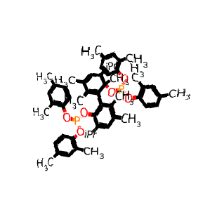 CC1=CC(C(C)C)C(C)(OP(Oc2ccc(C)cc2C)Oc2ccc(C)cc2C)C(c2c(C)c(C)cc(C(C)C)c2OP(Oc2ccc(C)cc2C)Oc2ccc(C)cc2C)=C1C